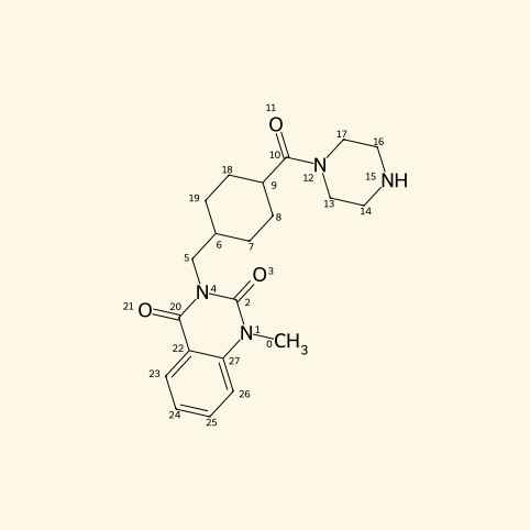 Cn1c(=O)n(CC2CCC(C(=O)N3CCNCC3)CC2)c(=O)c2ccccc21